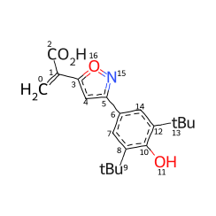 C=C(C(=O)O)c1cc(-c2cc(C(C)(C)C)c(O)c(C(C)(C)C)c2)no1